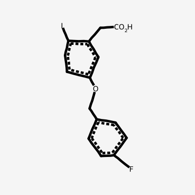 O=C(O)Cc1cc(OCc2ccc(F)cc2)ccc1I